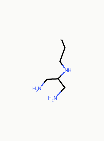 [CH2]CCNC(CN)CN